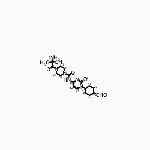 CC(C)(N)C(=O)N1CCN(C(=O)Nc2ccn(C3CCC(C=O)CC3)c(=O)n2)CC1